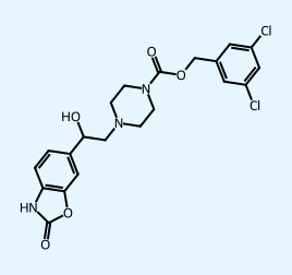 O=C(OCc1cc(Cl)cc(Cl)c1)N1CCN(CC(O)c2ccc3[nH]c(=O)oc3c2)CC1